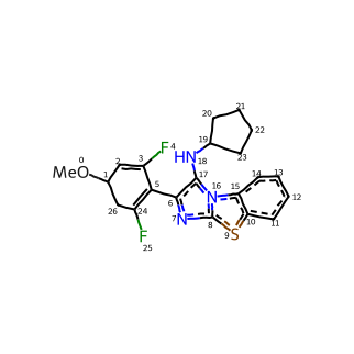 COC1C=C(F)C(c2nc3sc4ccccc4n3c2NC2CCCC2)=C(F)C1